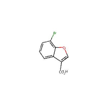 O=C(O)c1coc2c(Br)cccc12